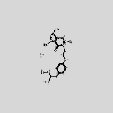 CCCc1nn(C)c2c(=O)n(CCOc3ccc(CC(OCC)C(=O)[O-])cc3)c(CC)nc12.[Na+]